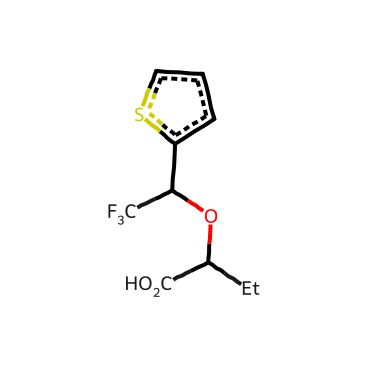 CCC(OC(c1cccs1)C(F)(F)F)C(=O)O